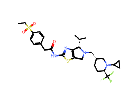 CCS(=O)(=O)c1ccc(CC(=O)Nc2nc3c(s2)CN(C[C@H]2CC[C@H](C(F)(F)F)N(C4CC4)C2)[C@H]3C(C)C)cc1